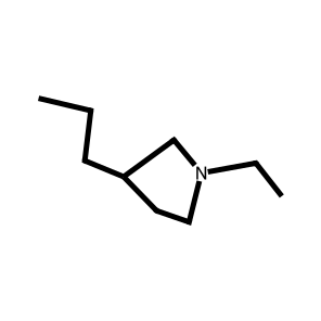 CCCC1CCN(CC)C1